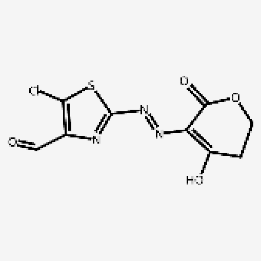 O=Cc1nc(N=NC2=C(O)CCOC2=O)sc1Cl